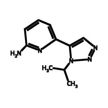 CC(C)n1nncc1-c1cccc(N)n1